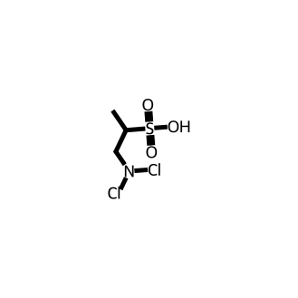 CC(CN(Cl)Cl)S(=O)(=O)O